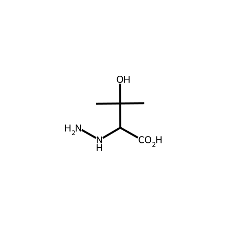 CC(C)(O)C(NN)C(=O)O